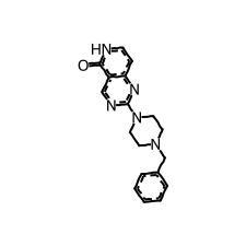 O=c1[nH]ccc2nc(N3CCN(Cc4ccccc4)CC3)ncc12